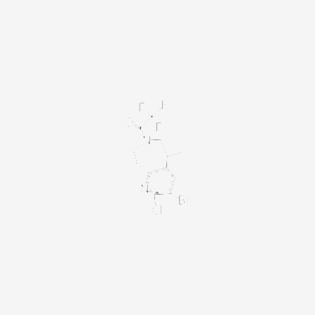 CC1CN(C(=O)C(F)(F)F)CCc2nc(Cl)c(Br)cc21